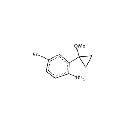 COC1(c2cc(Br)ccc2N)CC1